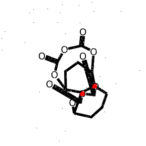 O=C1OC(=O)OC2CCC(O1)C1C3CCC(OC(=O)OC(=O)O3)C21